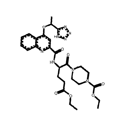 CCOC(=O)CCC(NC(=O)c1cc(OC(C)c2nnn[nH]2)c2ccccc2n1)C(=O)N1CCN(C(=O)OCC)CC1